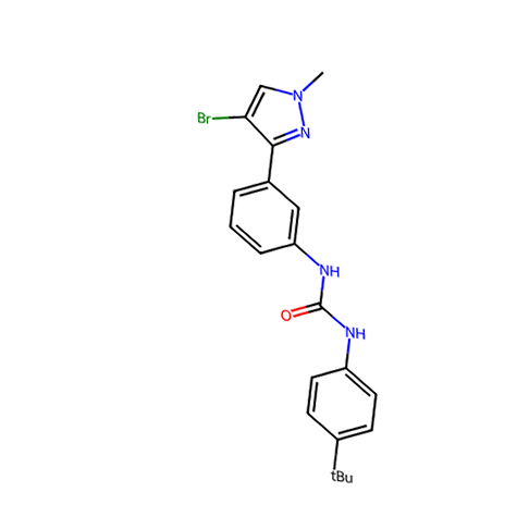 Cn1cc(Br)c(-c2cccc(NC(=O)Nc3ccc(C(C)(C)C)cc3)c2)n1